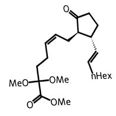 CCCCCC/C=C/[C@H]1CCC(=O)[C@@H]1C/C=C\CCC(OC)(OC)C(=O)OC